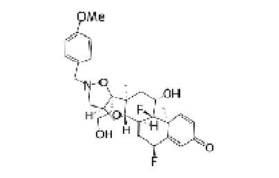 COc1ccc(CN2C[C@@H]3C[C@H]4[C@@H]5C[C@H](F)C6=CC(=O)C=C[C@]6(C)[C@@]5(F)[C@@H](O)C[C@]4(C)[C@]3(C(=O)CO)O2)cc1